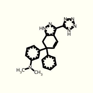 CN(C)c1cccc(C2(c3ccccc3)C=Cc3c(-c4nnn[nH]4)n[nH]c3C2)c1